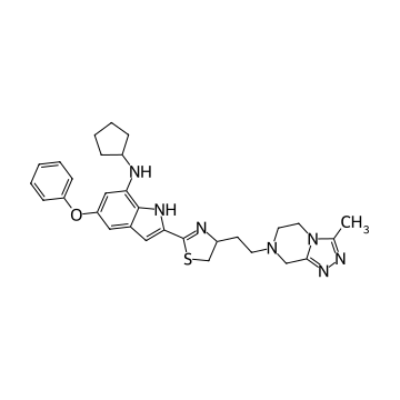 Cc1nnc2n1CCN(CCC1CSC(c3cc4cc(Oc5ccccc5)cc(NC5CCCC5)c4[nH]3)=N1)C2